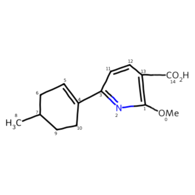 COc1nc(C2=CCC(C)CC2)ccc1C(=O)O